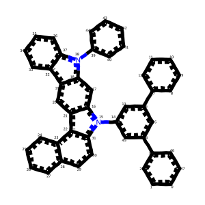 c1ccc(-c2cc(-c3ccccc3)cc(-n3c4cc5c(cc4c4c6ccccc6ccc43)c3ccccc3n5-c3ccccc3)c2)cc1